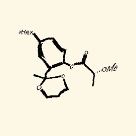 CCCCCCc1ccc(OC(=O)[C@@H](C)OC)c(C2(C)OCCCO2)c1